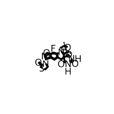 C[C@@H]1CN2c3c(cc4c(N5CCSC5=O)noc4c3F)CC3(C(=O)NC(=O)NC3=O)[C@H]2[C@H](C)O1